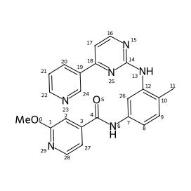 COc1cc(C(=O)Nc2ccc(C)c(Nc3nccc(-c4cccnc4)n3)c2)ccn1